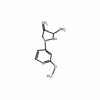 C=C1CN(c2ccnc(OC)c2)NC1N